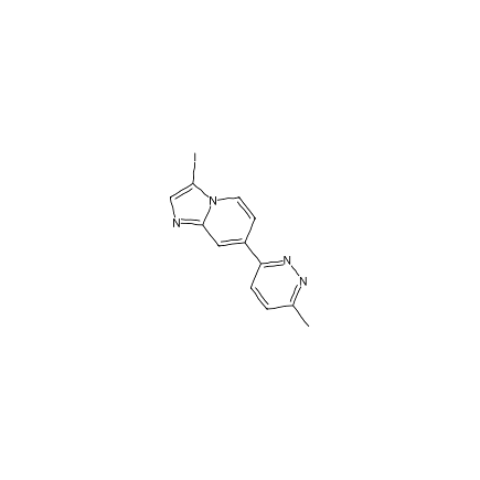 Cc1ccc(-c2ccn3c(I)cnc3c2)nn1